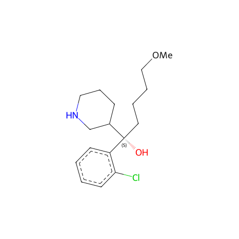 COCCCC[C@@](O)(c1ccccc1Cl)C1CCCNC1